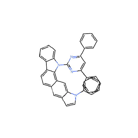 c1ccc(-c2cc(-c3ccccc3)nc(-n3c4ccccc4c4ccc5cc6ccn(-c7ccccc7)c6cc5c43)n2)cc1